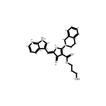 O=C(OCCCO)C1=C(N2CCc3ccccc3C2)OC(=Cc2c[nH]c3ncccc23)C1=O